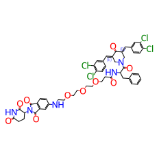 O=C1CCC(N2C(=O)c3ccc(NCCOCCOCCOCCC(=O)NC(Cc4ccccc4)C(=O)N4C/C(=C\c5ccc(Cl)c(Cl)c5)C(=O)/C(=C/c5ccc(Cl)c(Cl)c5)C4)cc3C2=O)C(=O)N1